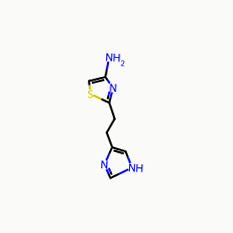 Nc1csc(CCc2c[nH]cn2)n1